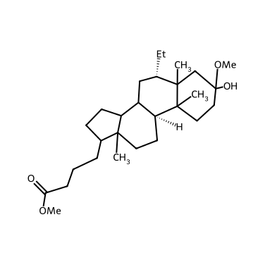 CC[C@H]1CC2C3CCC(CCCC(=O)OC)C3(C)CC[C@@H]2C2(C)CCC(O)(OC)CC12C